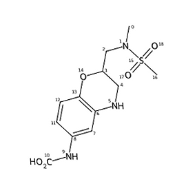 CN(CC1CNc2cc(NC(=O)O)ccc2O1)S(C)(=O)=O